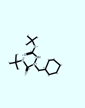 CC(C)(C)OC(=O)NN(CC1CCCCC1)C(=O)OC(C)(C)C